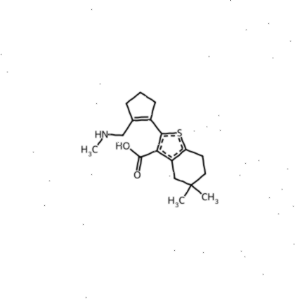 CNCC1=C(c2sc3c(c2C(=O)O)CC(C)(C)CC3)CCC1